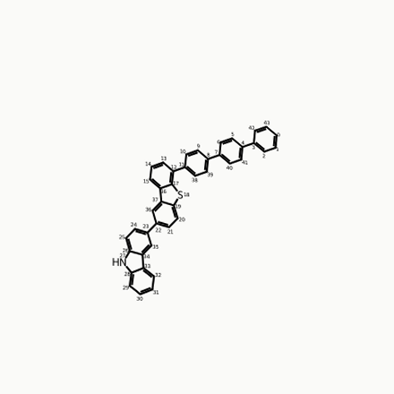 c1ccc(-c2ccc(-c3ccc(-c4cccc5c4sc4ccc(-c6ccc7[nH]c8ccccc8c7c6)cc45)cc3)cc2)cc1